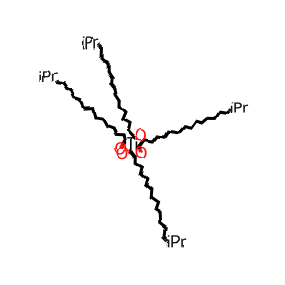 CC(C)CCCCCCCCCCCCCC[C](=O)[Ti]([C](=O)CCCCCCCCCCCCCCC(C)C)([C](=O)CCCCCCCCCCCCCCC(C)C)[C](=O)CCCCCCCCCCCCCCC(C)C